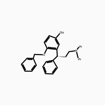 CC(C)N(CC[C@H](c1ccccc1)c1cc(O)ccc1OCc1ccccc1)C(C)C